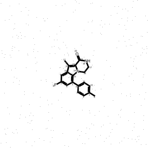 Cc1ccc(-c2cc(F)cc3c(C)c4n(c23)CCNC4=O)cc1